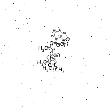 CC(C)=CC(C(=O)OCC(C)OC(=O)C1CC=CCC1C(=O)O)C(C)(C)C